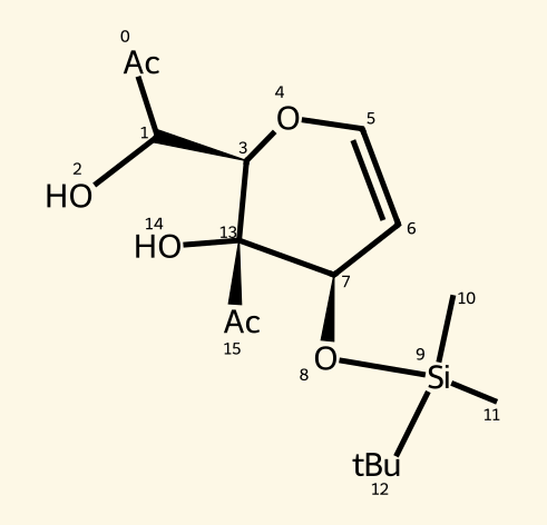 CC(=O)C(O)[C@H]1OC=C[C@@H](O[Si](C)(C)C(C)(C)C)[C@@]1(O)C(C)=O